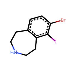 Brc1ccc2c(c1I)CCNCC2